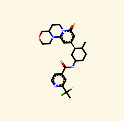 CC1CCC(NC(=O)c2ccnc(C(C)(F)F)c2)C[C@H]1c1cc2n(c(=O)c1)CCC1COCCN21